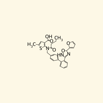 CCCC(=O)N(Cc1ccc(-c2ccccc2C2=NC(c3ccco3)ON2)cc1)c1sc(C)cc1C(=O)O